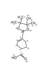 CC1(C)OB(C2=CC[C@@H](C(=O)O)CC2)OC1(C)C